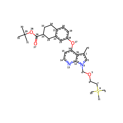 Cc1cn(COCCS(C)(C)C)c2nccc(Oc3ccc4c(c3)CC(C(=O)OC(C)(C)C)CC4)c12